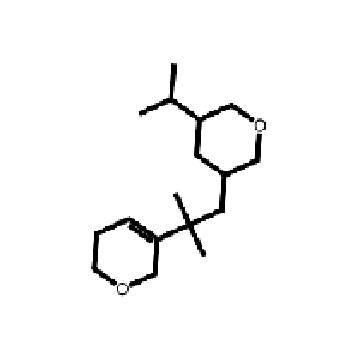 CC(C)C1COCC(CC(C)(C)C2=CCCOC2)C1